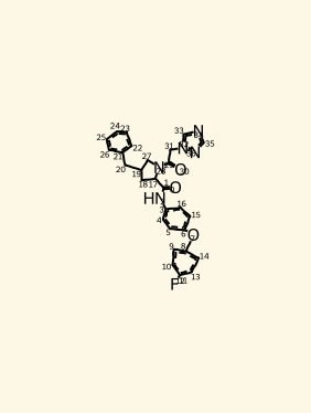 O=C(Nc1ccc(Oc2ccc(F)cc2)cc1)C1CC(Cc2ccccc2)CN1C(=O)Cn1cncn1